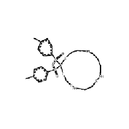 Cc1ccc(S(=O)(=O)[N+]2(S(=O)(=O)c3ccc(C)cc3)CCCNCCCNCCCNCCC2)cc1